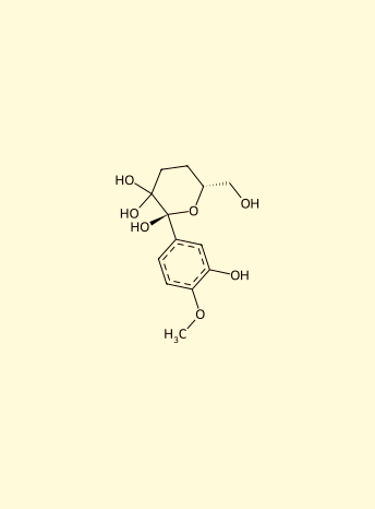 COc1ccc([C@@]2(O)O[C@@H](CO)CCC2(O)O)cc1O